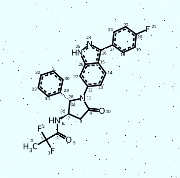 CC(F)(F)C(=O)N[C@@H]1CC(=O)N(c2ccc3c(-c4ccc(F)cc4)n[nH]c3c2)[C@H]1c1ccccc1